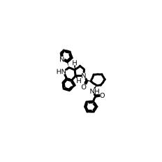 O=C(N[C@@H]1CCCC[C@@H]1C(=O)N1CC[C@H]2[C@@H](c3ccccn3)Nc3ccccc3[C@H]21)c1ccccc1